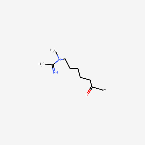 CC(=N)N(C)CCCCCC(=O)C(C)C